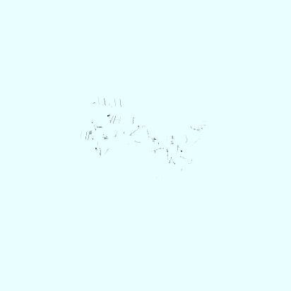 C[C@H](CO)Nc1n[nH]c2nccc(Oc3ccc(NC(=O)c4cn(CC5CC5)c(=O)n(-c5ccc(F)cc5)c4=O)cc3F)c12